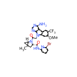 COc1cc2c(cc1C(F)(F)F)c1c(N)ncnc1n2CC(=O)N1[C@H](C(=O)Nc2cccc(Br)n2)C[C@@]2(C)C[C@@H]12